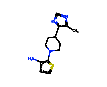 Cc1nc[nH]c1C1CCN(c2sccc2N)CC1